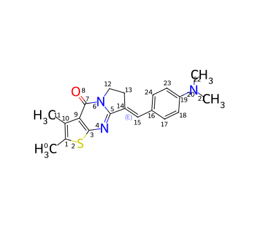 Cc1sc2nc3n(c(=O)c2c1C)CC/C3=C\c1ccc(N(C)C)cc1